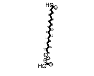 O=C(O)CCCCCCCCCCCCCCCCOOOC(=O)O